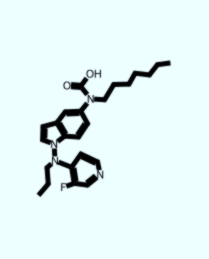 CCCCCCCN(C(=O)O)c1ccc2c(ccn2N(CCC)c2ccncc2F)c1